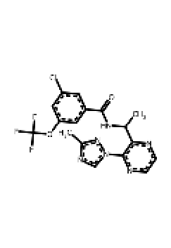 Cc1ncn(-c2nccnc2C(C)NC(=O)c2cc(Cl)cc(OC(F)(F)F)c2)n1